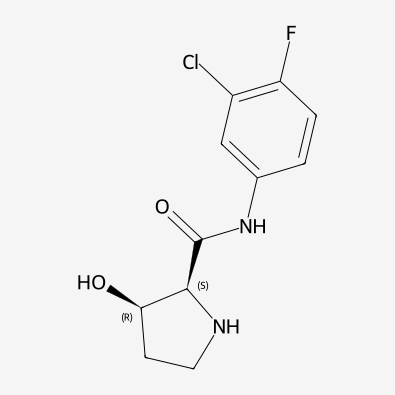 O=C(Nc1ccc(F)c(Cl)c1)[C@H]1NCC[C@H]1O